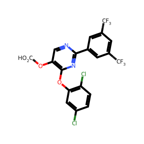 O=C(O)Oc1cnc(-c2cc(C(F)(F)F)cc(C(F)(F)F)c2)nc1Oc1cc(Cl)ccc1Cl